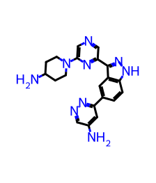 Nc1cnnc(-c2ccc3[nH]nc(-c4cncc(N5CCC(N)CC5)n4)c3c2)c1